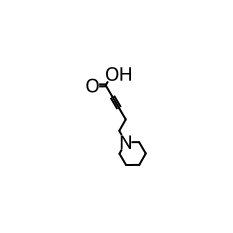 O=C(O)C#CCCN1CCCCC1